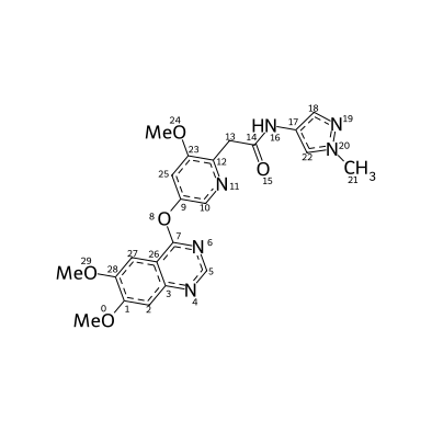 COc1cc2ncnc(Oc3cnc(CC(=O)Nc4cnn(C)c4)c(OC)c3)c2cc1OC